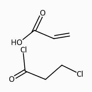 C=CC(=O)O.O=C(Cl)CCCl